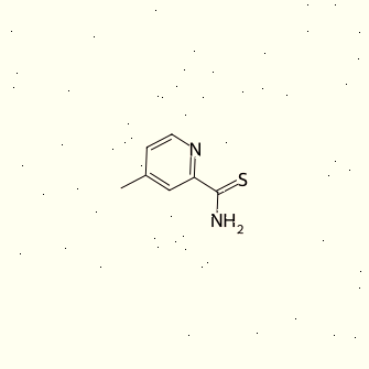 Cc1ccnc(C(N)=S)c1